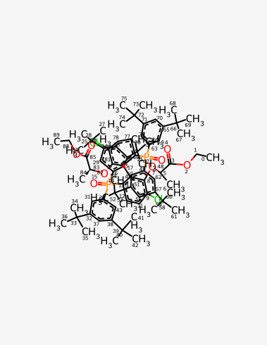 CCOC(=O)C(C)Oc1c(Cl)ccc(P(=O)(c2cc(C(C)(C)C)cc(C(C)(C)C)c2)c2cc(C(C)(C)C)cc(C(C)(C)C)c2)c1-c1c(P(=O)(c2cc(C(C)(C)C)cc(C(C)(C)C)c2)c2cc(C(C)(C)C)cc(C(C)(C)C)c2)ccc(Cl)c1O[C@@H](C)C(=O)OCC